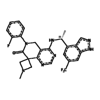 C[C@@H](Nc1ncnc2c1CN(c1ccccc1F)C(=O)C21CN(C)C1)c1cc(C(F)(F)F)cc2[nH]ncc12